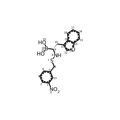 O=[N+]([O-])c1cccc(CSN[C@@H](Cc2coc3ccccc23)B(O)O)c1